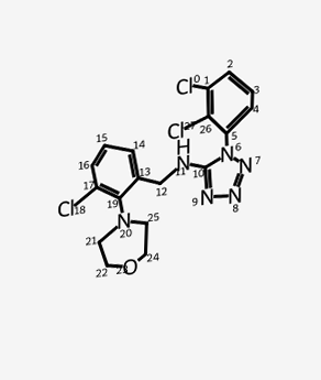 Clc1cccc(-n2nnnc2NCc2cccc(Cl)c2N2CCOCC2)c1Cl